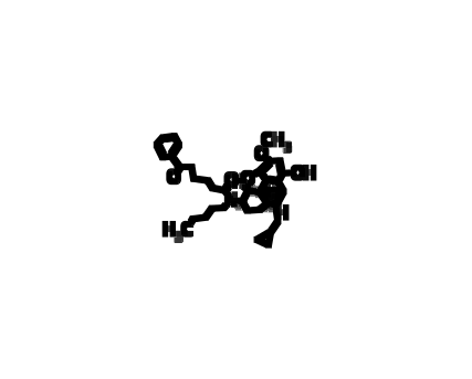 CCCCCN(C(=O)CCCCC(=O)c1ccccc1)[C@@H]1CC[C@H]2[C@H]3Cc4c(O)cc(OC)c5c4[C@@]2(CCN3CC2CC2)[C@H]1O5